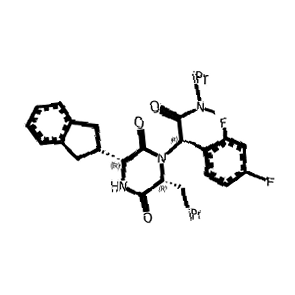 CC(C)C[C@@H]1C(=O)N[C@H](C2Cc3ccccc3C2)C(=O)N1[C@@H](C(=O)N(C)C(C)C)c1ccc(F)cc1F